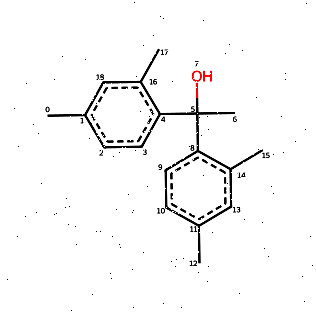 Cc1ccc(C(C)(O)c2ccc(C)cc2C)c(C)c1